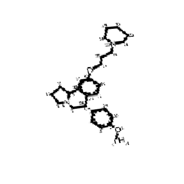 COc1ccc([C@@H]2CN3CCCC3c3cc(OCCCN4CCCCC4)ccc32)cc1